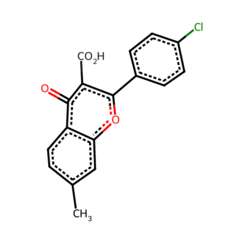 Cc1ccc2c(=O)c(C(=O)O)c(-c3ccc(Cl)cc3)oc2c1